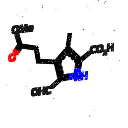 COC(=O)CCc1c(C=O)[nH]c(C(=O)O)c1C